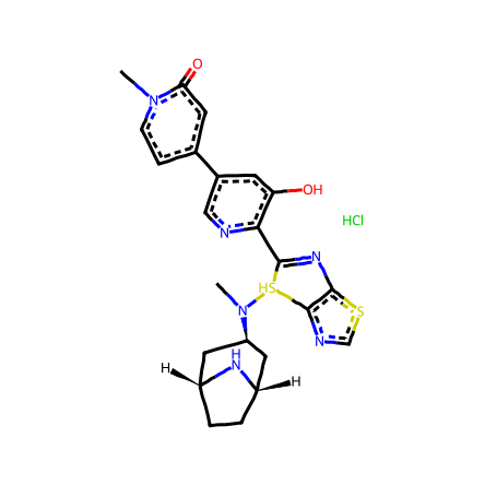 CN([C@@H]1C[C@H]2CC[C@@H](C1)N2)[SH]1C(c2ncc(-c3ccn(C)c(=O)c3)cc2O)=Nc2scnc21.Cl